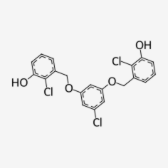 Oc1cccc(COc2cc(Cl)cc(OCc3cccc(O)c3Cl)c2)c1Cl